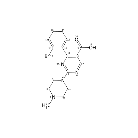 CN1CCN(c2ncc(C(=O)O)c(-c3ccccc3Br)n2)CC1